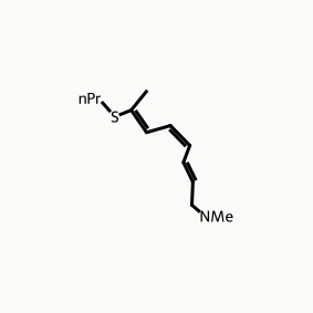 CCCS/C(C)=C/C=C\C=C\CNC